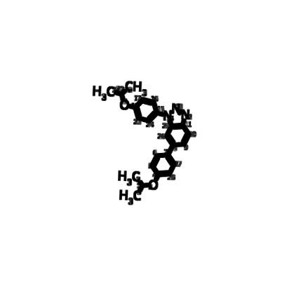 CC(C)Oc1ccc(-c2ccc3nnn(-c4ccc(OC(C)C)cc4)c3c2)cc1